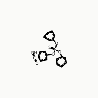 N=C=O.S=P(Oc1ccccc1)(Oc1ccccc1)Oc1ccccc1